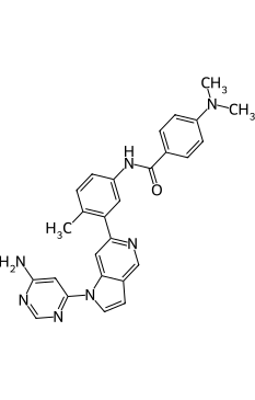 Cc1ccc(NC(=O)c2ccc(N(C)C)cc2)cc1-c1cc2c(ccn2-c2cc(N)ncn2)cn1